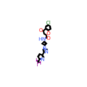 O=C1CC(C(=O)NC23CC(n4cnc(-c5ccc(C(I)(I)I)nc5)c4)(C2)C3)Oc2ccc(Cl)cc21